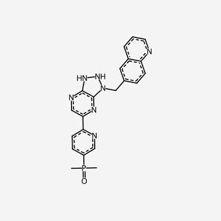 CP(C)(=O)c1ccc(-c2cnc3c(n2)N(Cc2ccc4ncccc4c2)NN3)nc1